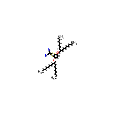 CCCCCCCCC(CCCCCCCC)COc1ccc(OCC(CCCCCCCC)CCCCCCCC)c2c1SC(=C(C#N)C#N)S2